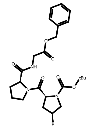 CC(C)(C)OC(=O)N1C[C@@H](F)C[C@H]1C(=O)N1CCC[C@H]1C(=O)NCC(=O)OCc1ccccc1